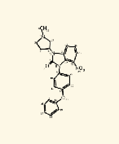 CN1CCC(n2c(=O)n(-c3ccc(Oc4ccccc4)cc3)c3c([N+](=O)[O-])cccc32)C1